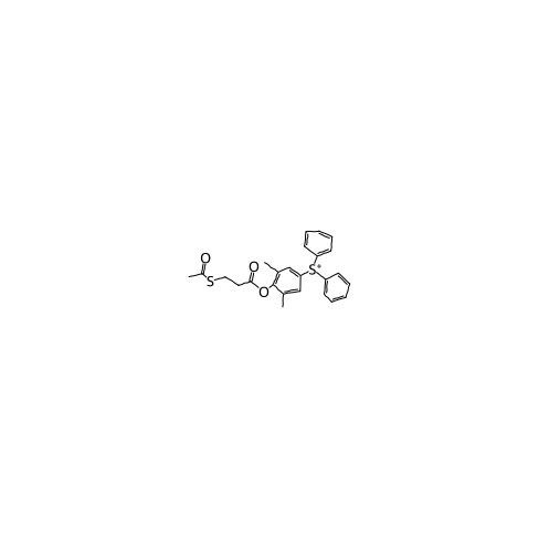 CC(=O)SCCC(=O)Oc1c(C)cc([S+](c2ccccc2)c2ccccc2)cc1C